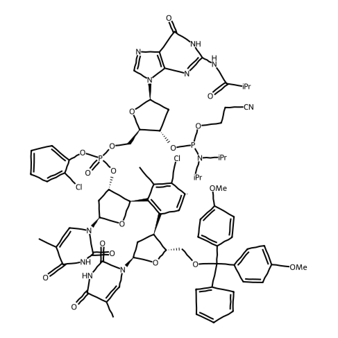 COc1ccc(C(OC[C@@H]2O[C@@H](n3cc(C)c(=O)[nH]c3=O)C[C@H]2c2c[c]c(Cl)c(C)c2[C@H]2O[C@@H](n3cc(C)c(=O)[nH]c3=O)C[C@@H]2OP(=O)(OC[C@H]2O[C@@H](n3cnc4c(=O)[nH]c(NC(=O)C(C)C)nc43)C[C@@H]2OP(OCCC#N)N(C(C)C)C(C)C)Oc2ccccc2Cl)(c2ccccc2)c2ccc(OC)cc2)cc1